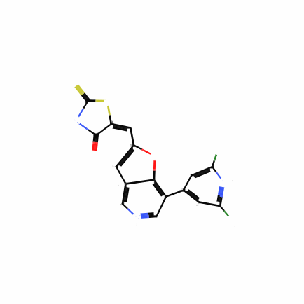 O=C1NC(=S)S/C1=C/c1cc2cncc(-c3cc(Cl)nc(Cl)c3)c2o1